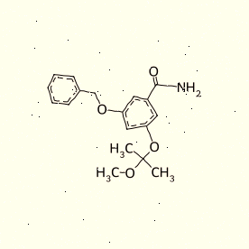 COC(C)(C)Oc1cc(OCc2ccccc2)cc(C(N)=O)c1